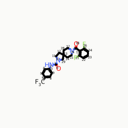 O=C(Nc1ccc(C(F)(F)F)cc1)N1CCC2(CCN(C(=O)c3c(F)cccc3F)CC2)C1